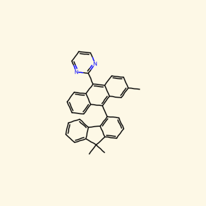 Cc1ccc2c(-c3ncccn3)c3ccccc3c(-c3cccc4c3-c3ccccc3C4(C)C)c2c1